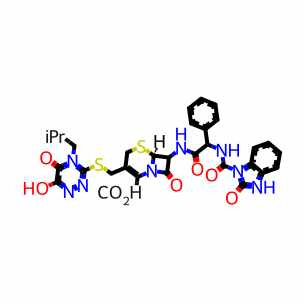 CC(C)Cn1c(SCC2=C(C(=O)O)N3C(=O)C(NC(=O)C(NC(=O)n4c(=O)[nH]c5ccccc54)c4ccccc4)[C@@H]3SC2)nnc(O)c1=O